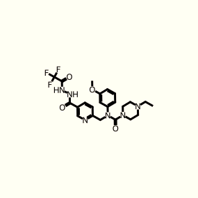 CCN1CCN(C(=O)N(Cc2ccc(C(=O)NNC(=O)C(F)(F)F)cn2)c2cccc(OC)c2)CC1